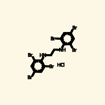 Brc1cc(Br)c(NCCNc2c(Br)cc(Br)cc2Br)c(Br)c1.Cl